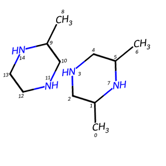 CC1CNCC(C)N1.CC1CNCCN1